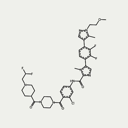 COCCn1ncc(-c2ccc(-c3cnc(C(=O)Nc4ccc(C(=O)N5CCN(C(=O)C6CCN(CC(F)F)CC6)CC5)c(Cl)c4)n3C)c(F)c2F)c1C